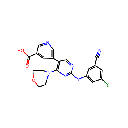 N#Cc1cc(Cl)cc(Nc2ncc(-c3cncc(C(=O)O)c3)c(N3CCOCC3)n2)c1